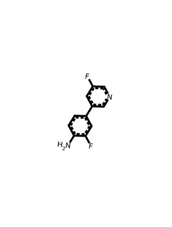 Nc1ccc(-c2cncc(F)c2)cc1F